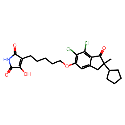 CC1(C2CCCC2)Cc2cc(OCCCCCC3=C(O)C(=O)NC3=O)c(Cl)c(Cl)c2C1=O